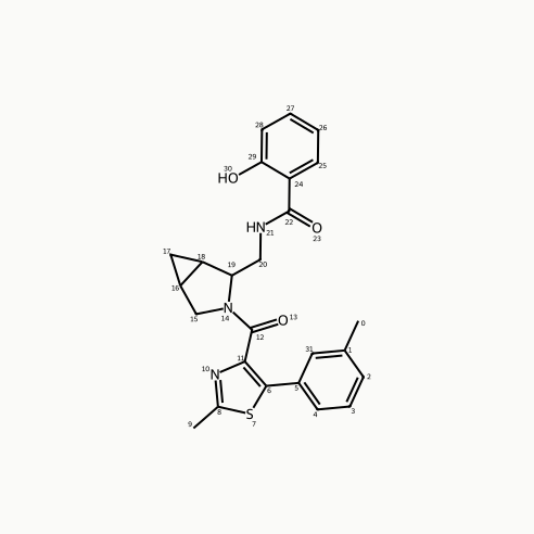 Cc1cccc(-c2sc(C)nc2C(=O)N2CC3CC3C2CNC(=O)c2ccccc2O)c1